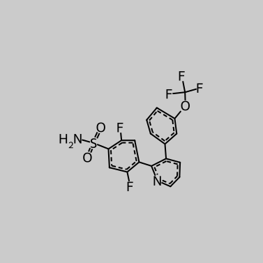 NS(=O)(=O)c1cc(F)c(-c2ncccc2-c2cccc(OC(F)(F)F)c2)cc1F